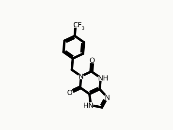 O=c1[nH]c2nc[nH]c2c(=O)n1Cc1ccc(C(F)(F)F)cc1